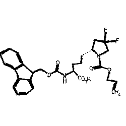 C=CCOC(=O)N1CC(F)(F)C[C@H]1CCCC(NC(=O)OCC1c2ccccc2-c2ccccc21)C(=O)O